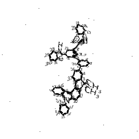 CC1(C)c2cc(-c3cccc(-c4cc(-c5nc6ccccc6o5)cc(C5Nc6ccccc6O5)c4)c3)ccc2-c2c1ccc1c2c2ccccc2n1-c1ccccc1